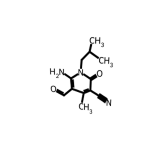 Cc1c(C=O)c(N)n(CC(C)C)c(=O)c1C#N